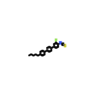 CCCCCc1ccc(-c2ccc(-c3ccc(N=C=S)c(F)c3)cc2)cc1